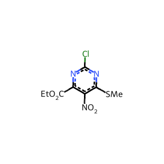 CCOC(=O)c1nc(Cl)nc(SC)c1[N+](=O)[O-]